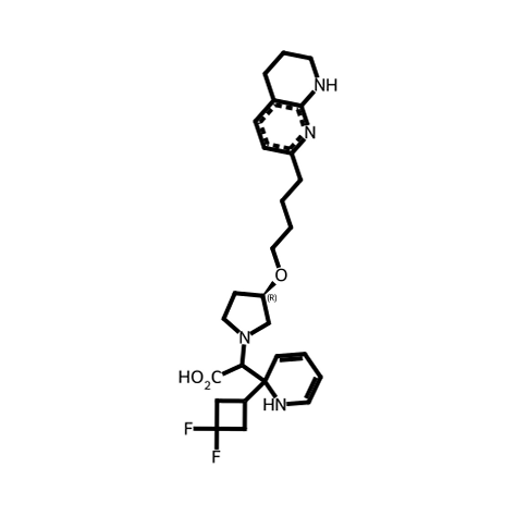 O=C(O)C(N1CC[C@@H](OCCCCc2ccc3c(n2)NCCC3)C1)C1(C2CC(F)(F)C2)C=CC=CN1